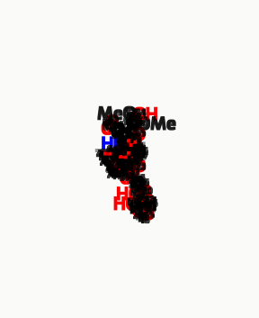 COc1cc(C2c3cc4c(cc3C(NC(=O)/C(C)=C\CC35OC(C)(C)C6CC(C=C7C(=O)c8c(OC(=O)c9ccc(O[C@@H]%10O[C@@H]%11COC(C)(C)O[C@H]%11[C@H](O)[C@H]%10O)cc9)c9c(c(CC=C(C)C)c8OC763)OC(C)(CCC=C(C)C)C=C9)C5=O)C3COC(=O)C23)OCO4)cc(OC)c1O